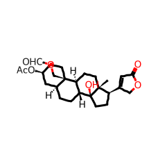 CC(=O)O[C@H]1CC[C@@]2(COC=O)[C@@H](CC[C@@H]3[C@@H]2CC[C@]2(C)[C@@H](C4=CC(=O)OC4)CC[C@]32O)C1